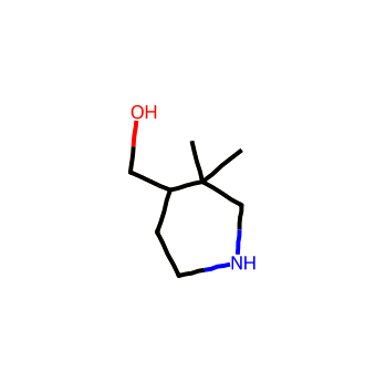 CC1(C)CNCCC1CO